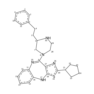 c1ccc(CCC2CN(C3=Nc4ccccc4Nc4sc(C5CCCC5)nc43)CCN2)cc1